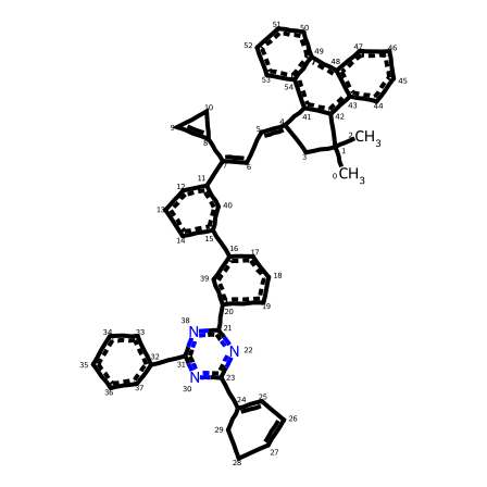 CC1(C)C/C(=C\C=C(/C2=CC2)c2cccc(-c3cccc(-c4nc(C5=CC=CCC5)nc(-c5ccccc5)n4)c3)c2)c2c1c1ccccc1c1ccccc21